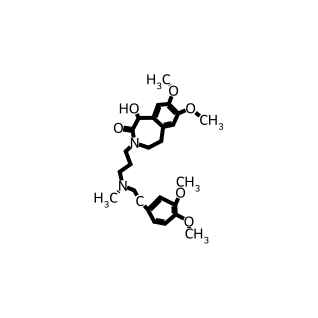 COc1ccc(CCN(C)CCCN2CCc3cc(OC)c(OC)cc3C(O)C2=O)cc1OC